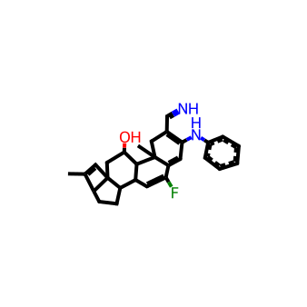 CC1=CC23CC(O)C4C(C=C(F)C5=CC(Nc6ccccc6)=C(C=N)CC54C)C2CCC13